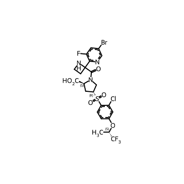 C[C@H](Oc1ccc(S(=O)(=O)[C@@H]2C[C@@H](C(=O)O)N(C(=O)C3(c4ncc(Br)cc4F)CCN3)C2)c(Cl)c1)C(F)(F)F